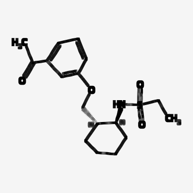 CCS(=O)(=O)N[C@H]1CCCC[C@@H]1COc1cccc(C(C)=O)c1